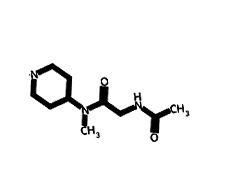 CC(=O)NCC(=O)N(C)C1CC[N]CC1